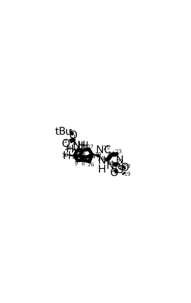 CC(C)(C)OC(=O)N[C@@H]1[C@@H]2CC3C[C@H]1C[C@@](CNc1nc(S(C)(=O)=O)ncc1C#N)(C3)C2